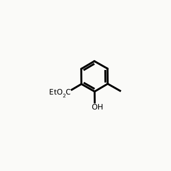 CCOC(=O)c1cccc(C)c1O